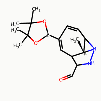 CC1(C)OB(C2=CC3C(C=O)NN4C(C=C2)[C@@]34C)OC1(C)C